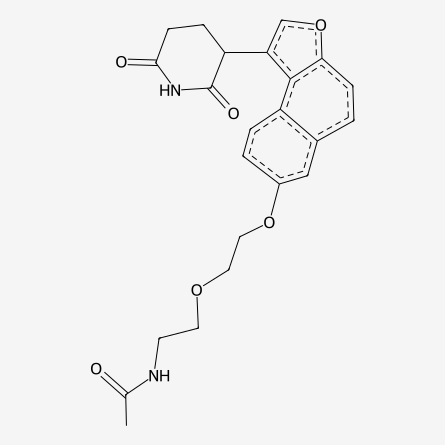 CC(=O)NCCOCCOc1ccc2c(ccc3occ(C4CCC(=O)NC4=O)c32)c1